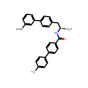 CC(=O)Nc1cccc(-c2ccc(C[C@H](NC(=O)c3ccc(-c4ccc(C(F)(F)F)cc4)cc3)C(=O)O)cc2)c1